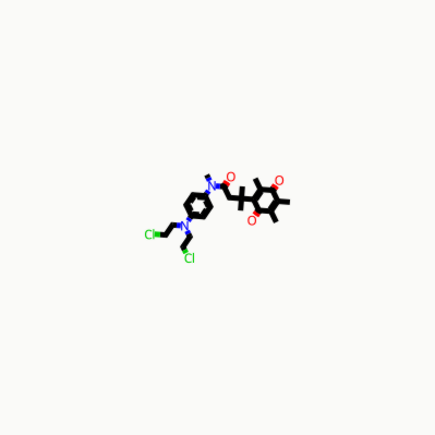 CC1=C(C)C(=O)C(C(C)(C)CC(=O)N(C)c2ccc(N(CCCl)CCCl)cc2)=C(C)C1=O